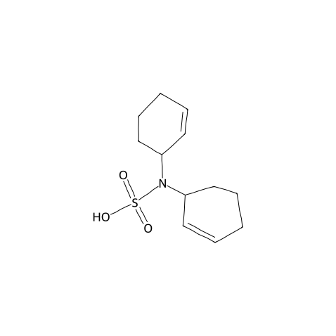 O=S(=O)(O)N(C1C=CCCC1)C1C=CCCC1